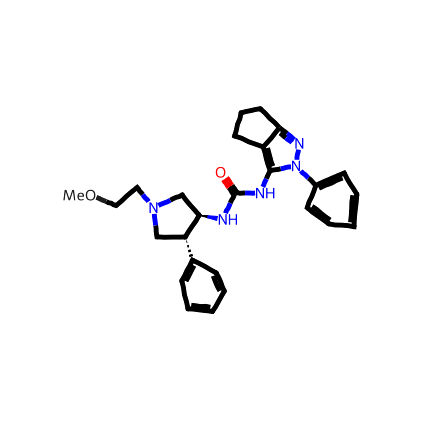 COCCN1C[C@@H](NC(=O)Nc2c3c(nn2-c2ccccc2)CCC3)[C@H](c2ccccc2)C1